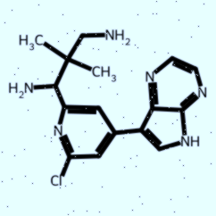 CC(C)(CN)C(N)c1cc(-c2c[nH]c3nccnc23)cc(Cl)n1